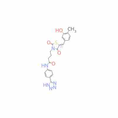 Cc1ccc(/C=C2\SC(=O)N(CCCC(=O)Nc3ccc(-c4nnn[nH]4)cc3)C2=O)cc1O